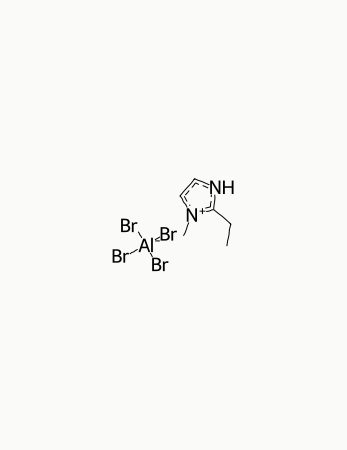 CCc1[nH]cc[n+]1C.[Br][Al-]([Br])([Br])[Br]